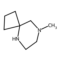 CN1CCNC2(CCC2)C1